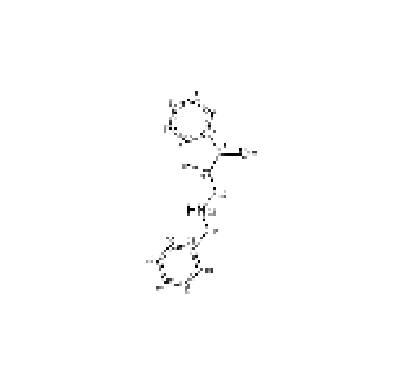 O=C1c2ccccc2CC1CNCc1ccccc1